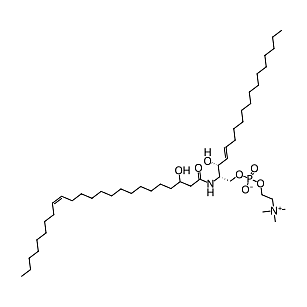 CCCCCCCC/C=C\CCCCCCCCCCCC(O)CC(=O)N[C@@H](COP(=O)([O-])OCC[N+](C)(C)C)[C@H](O)/C=C/CCCCCCCCCCCCC